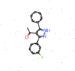 CC(=O)c1c(-c2cccc(F)c2)n[nH]c1-c1ccccc1